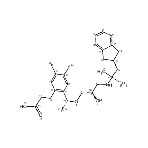 C[C@@H](OC[C@H](O)CNC(C)(C)CC1Cc2ccccc2C1)c1cc(F)c(F)cc1CCC(=O)O